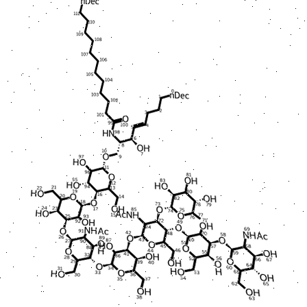 CCCCCCCCCCCCC/C=C/[C@@H](O)[C@H](CO[C@@H]1OC(CO)[C@@H](O[C@@H]2OC(CO)[C@H](O)[C@H](O[C@@H]3OC(CO)[C@@H](O[C@@H]4OC(CO)[C@H](O)[C@H](O[C@@H]5OC(CO)[C@@H](O[C@@H]6OC(CO)[C@H](O)[C@H](O[C@@H]7OC(CO)[C@@H](O)[C@H](O)C7NC(C)=O)C6O)[C@H](O[C@H]6OC(C)[C@@H](O)C(O)[C@@H]6O)C5NC(C)=O)C4O)[C@H](O)C3NC(C)=O)C2O)[C@H](O)C1O)NC(=O)CCCCCCCCCCCCCCCCCCCCC